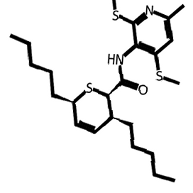 CCCCC[C@H]1C=C[C@@H](CCCCC)S[C@H]1C(=O)Nc1c(SC)cc(C)nc1SC